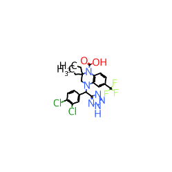 CCC1(CC)CN(C(c2ccc(Cl)c(Cl)c2)c2nn[nH]n2)c2cc(C(F)(F)F)ccc2N1C(=O)O